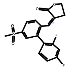 CS(=O)(=O)c1ccc(/C=C2/CCOC2=O)c(-c2ccc(F)cc2F)c1